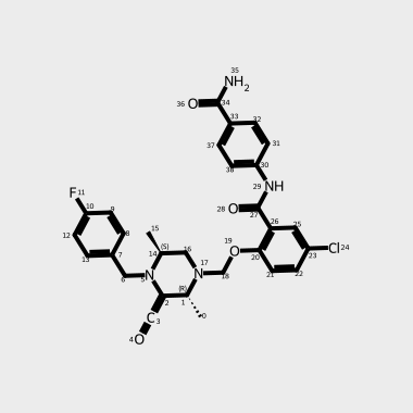 C[C@@H]1C(=C=O)N(Cc2ccc(F)cc2)[C@@H](C)CN1COc1ccc(Cl)cc1C(=O)Nc1ccc(C(N)=O)cc1